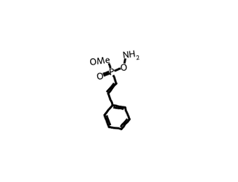 COP(=O)(C=Cc1ccccc1)ON